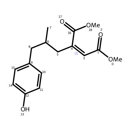 COC(=O)/C=C(/CC(C)Cc1ccc(O)cc1)C(=O)OC